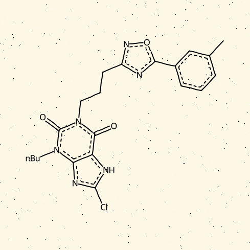 CCCCn1c(=O)n(CCCc2noc(-c3cccc(C)c3)n2)c(=O)c2[nH]c(Cl)nc21